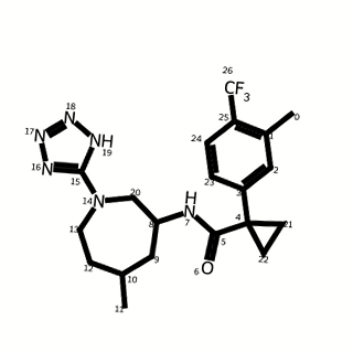 Cc1cc(C2(C(=O)NC3CC(C)CCN(c4nnn[nH]4)C3)CC2)ccc1C(F)(F)F